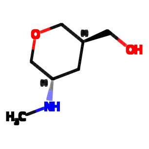 CN[C@@H]1COC[C@@H](CO)C1